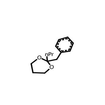 CCCC1(Cc2ccccc2)OCCCO1